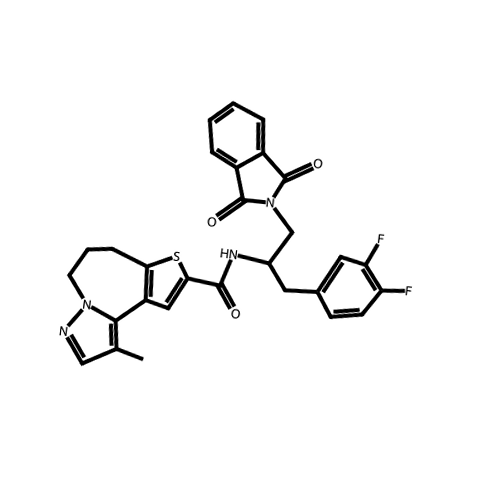 Cc1cnn2c1-c1cc(C(=O)NC(Cc3ccc(F)c(F)c3)CN3C(=O)c4ccccc4C3=O)sc1CCC2